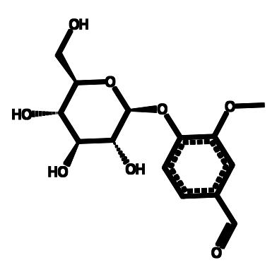 COc1cc(C=O)ccc1O[C@@H]1O[C@H](CO)[C@@H](O)[C@H](O)[C@H]1O